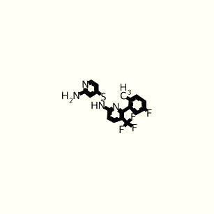 Cc1ccc(F)cc1-c1nc(NSc2ccnc(N)c2)ccc1C(F)(F)F